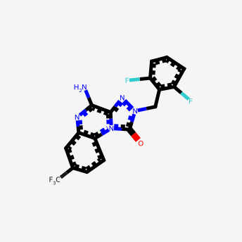 Nc1nc2cc(C(F)(F)F)ccc2n2c(=O)n(Cc3c(F)cccc3F)nc12